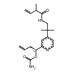 C=CC[C@H](OC(N)=O)c1cc(C(C)(C)CNC(=O)C(C)C=C)ccn1